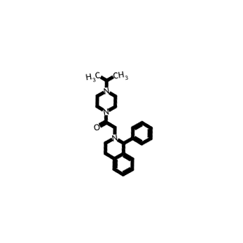 CC(C)N1CCN(C(=O)CN2CCc3ccccc3C2c2ccccc2)CC1